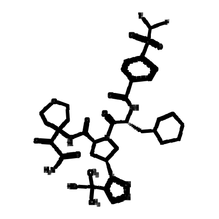 CC(C)(O)c1cnnn1[C@H]1C[C@@H](C(=O)NC2(C(=O)C(N)=O)CCOCC2)N(C(=O)[C@@H](CC2CCCCC2)NC(=O)c2ccc(S(=O)(=O)C(F)F)cc2)C1